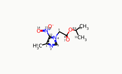 Cc1ncn(CC(=O)OC(C)C)c1[N+](=O)[O-]